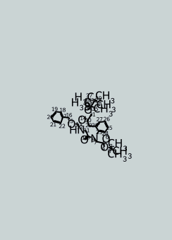 CC(C)(C)OC(=O)CN(C(=O)CNC(=O)OCc1ccccc1)c1ccccc1CCCO[Si](C)(C)C(C)(C)C